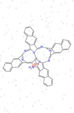 Nc1c2cc3ccccc3cc2c2n1[Si]1(O)/C(O)=C3N=C(/N=c4/c5cc6ccccc6cc5/c(n41)=N/C1=NC(=N\2)/c2cc4ccccc4cc21)c1cc2ccccc2cc1\3